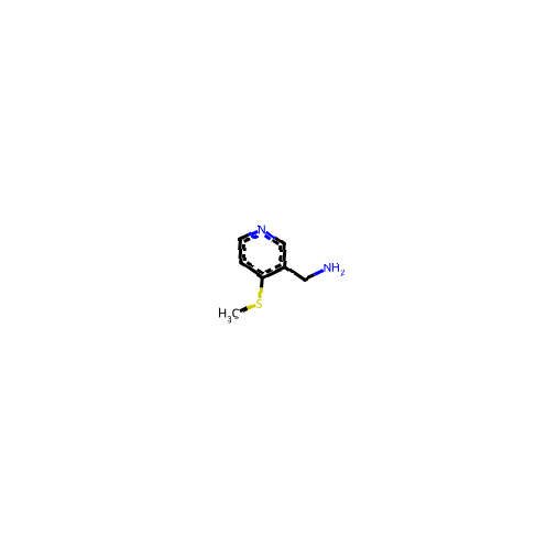 CSc1ccncc1CN